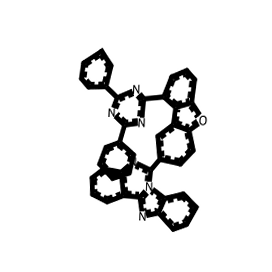 c1ccc(-c2nc(-c3ccccc3)nc(-c3cccc4oc5ccc(-c6nc7ccccc7c7nc8ccccc8n67)cc5c34)n2)cc1